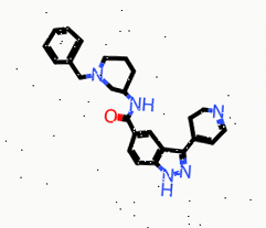 O=C(NC1CCCN(Cc2ccccc2)C1)c1ccc2[nH]nc(C3=CC=NCC3)c2c1